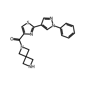 O=C(c1csc(-c2cnn(-c3ccccc3)c2)n1)N1CC2(CNC2)C1